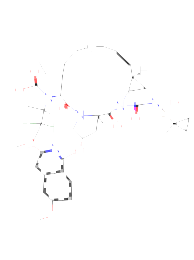 CC[C@@H]1C[C@H](C)CCC=C[C@@H]2C[C@@]2(C(=O)NS(=O)(=O)C2(C)CC2)NC(=O)[C@@H]2C[C@@H](Oc3nc(OC)cc4cc(OC)ccc34)CN2C(=O)[C@H]1N(C(=O)O)C(C)(C)C(C)(F)F